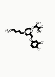 CCCCCN1CCOC(COc2ccc(Cl)c(Cl)c2)C1.O=C(O)C(=O)O